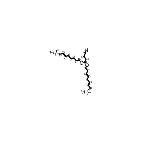 CC/C=C/CC=CCCOC(CCC#N)OCC/C=C/C/C=C/CC